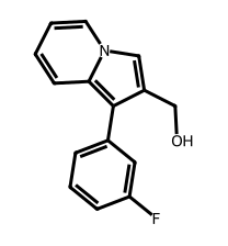 OCc1cn2ccccc2c1-c1cccc(F)c1